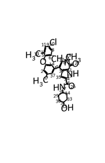 Cc1cc(Oc2c(C)cc(Cl)cc2C)cc(-c2cn(C)c(=O)c3[nH]c(C(=O)NC4CCC(O)CC4)cc23)c1